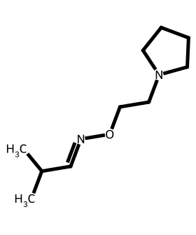 CC(C)/C=N/OCCN1CCCC1